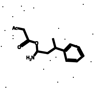 CC(=O)CC(=O)OC(N)CC(C)c1ccccc1